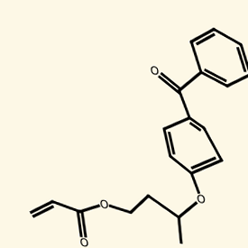 C=CC(=O)OCCC(C)Oc1ccc(C(=O)c2ccccc2)cc1